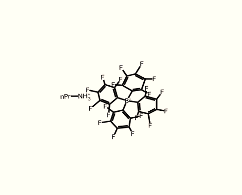 CCC[NH3+].Fc1c(F)c(F)c([B-](c2c(F)c(F)c(F)c(F)c2F)(c2c(F)c(F)c(F)c(F)c2F)c2c(F)c(F)c(F)c(F)c2F)c(F)c1F